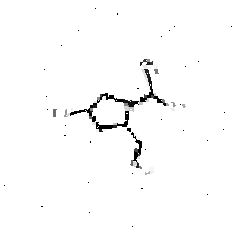 CC(C)N1C[C@H](N)C[C@@H]1CN